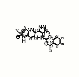 Cc1nc(-c2nnn(C)c2NC(=O)O[C@H](C)c2ccccc2)ccc1NS(C)(=O)=O